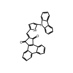 O=C1C(=Cc2ccc(-n3c4ccccc4c4ccccc43)[se]2)C(=O)c2c1c1ccccc1c1ccccc21